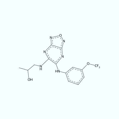 CC(O)CNc1nc2nonc2nc1Nc1cccc(OC(F)(F)F)c1